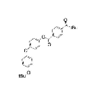 CC(C)(C)Oc1ccc(Oc2ccc(OC(=O)c3ccc(C(=O)C(C)(C)C)cc3)cc2)cc1